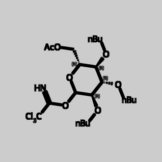 CCCCO[C@H]1[C@H](OCCCC)[C@@H](OCCCC)C(OC(=N)C(Cl)(Cl)Cl)O[C@@H]1COC(C)=O